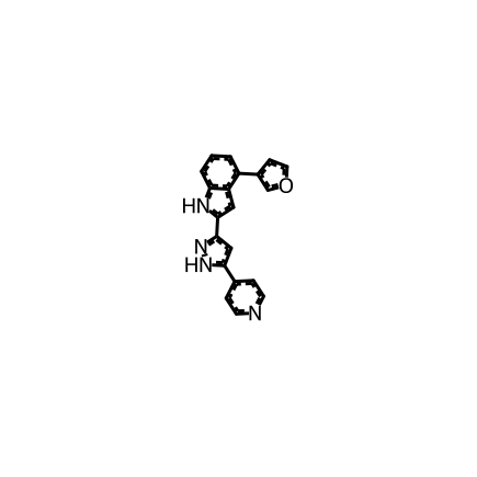 c1cc(-c2ccoc2)c2cc(-c3cc(-c4ccncc4)[nH]n3)[nH]c2c1